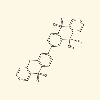 CC1(C)c2ccccc2S(=O)(=O)c2ccc(-c3ccc4c(c3)Oc3ccccc3S4(=O)=O)cc21